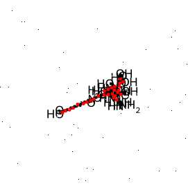 CC(=O)N[C@@H](CCCNC(=N)N)C(=O)N[C@@H](CCC(=O)O)C(=O)N[C@@H](CCCCN(CC(=O)O)CC(=O)O)C(=O)N[C@@H](CO)C(=O)N[C@@H](CO)C(=O)NCCOCCOCCNC(=O)CCCCCCCCCCCCCCCCC(=O)O